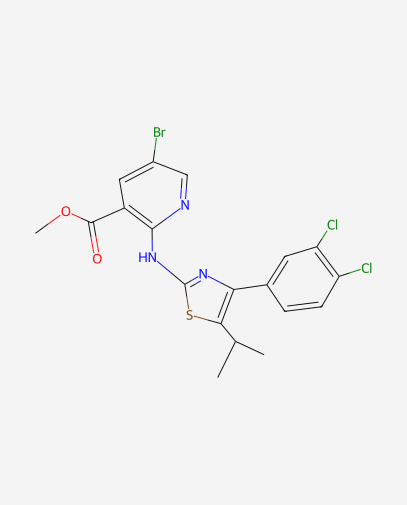 COC(=O)c1cc(Br)cnc1Nc1nc(-c2ccc(Cl)c(Cl)c2)c(C(C)C)s1